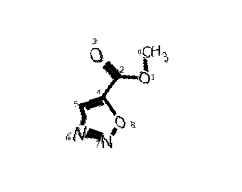 COC(=O)c1cnno1